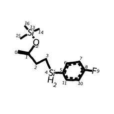 C=C(CC[SiH2]c1ccc(F)cc1)O[Si](C)(C)C